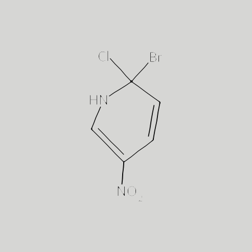 O=[N+]([O-])C1=CNC(Cl)(Br)C=C1